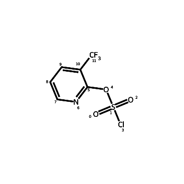 O=S(=O)(Cl)Oc1ncccc1C(F)(F)F